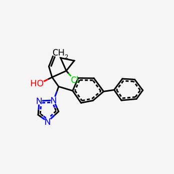 C=CC(O)(C(c1ccc(-c2ccccc2)cc1)n1cncn1)C1(Cl)CC1